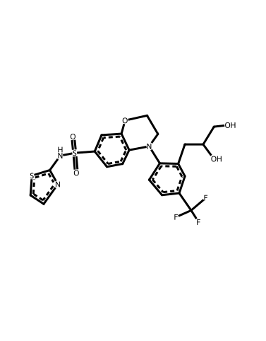 O=S(=O)(Nc1nccs1)c1ccc2c(c1)OCCN2c1ccc(C(F)(F)F)cc1CC(O)CO